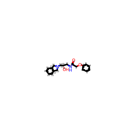 O=C(COc1ccccc1)NC[C@H](O)CN1Cc2ccccc2C1